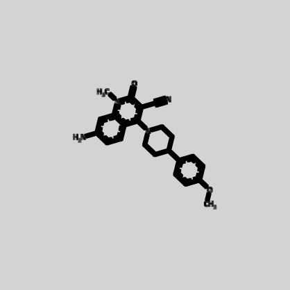 COc1ccc(C2CCN(c3c(C#N)c(=O)n(C)c4cc(N)ccc34)CC2)cc1